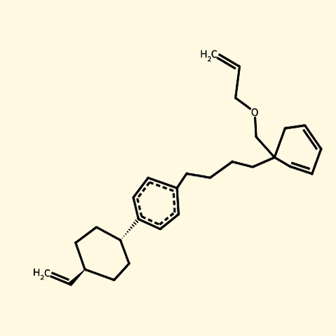 C=CCOCC1(CCCCc2ccc([C@H]3CC[C@H](C=C)CC3)cc2)C=CC=CC1